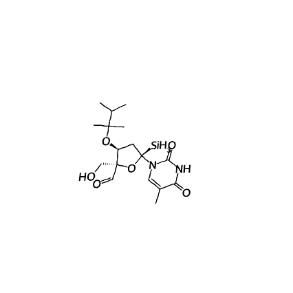 Cc1cn([C@@]2([SiH3])C[C@H](OC(C)(C)C(C)C)[C@@](C=O)(CO)O2)c(=O)[nH]c1=O